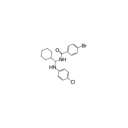 O=C(NC(Nc1ccc(Cl)cc1)C1CCCCC1)c1ccc(Br)cc1